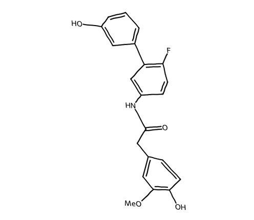 COc1cc(CC(=O)Nc2ccc(F)c(-c3cccc(O)c3)c2)ccc1O